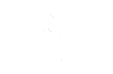 O=C1CCC(Nc2ncco2)CC1